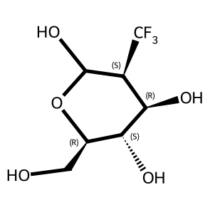 OC[C@H]1OC(O)[C@@H](C(F)(F)F)[C@@H](O)[C@@H]1O